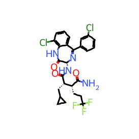 NC(=O)[C@H](CCC(F)(F)F)[C@H](CC1CC1)C(=O)N[C@H]1N=C(c2cccc(Cl)c2)c2cccc(Cl)c2NC1=O